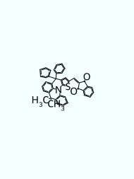 CC1(C)c2ccccc2N2c3sc(C=C4C(=O)c5ccccc5C4=O)cc3C(c3ccccc3)(c3ccccc3)c3cccc1c32